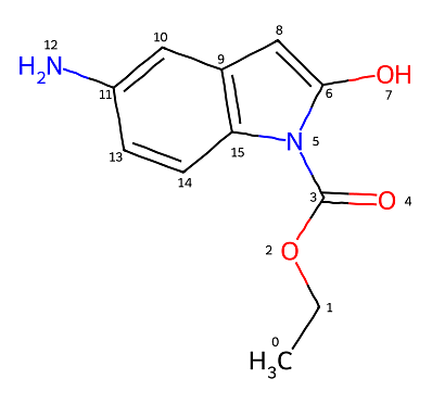 CCOC(=O)n1c(O)cc2cc(N)ccc21